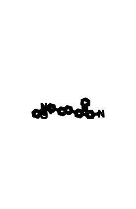 N#Cc1ccc2c3ccc(-c4ccc5cc(-c6ccc7nc8c9ccccc9oc8n7c6)ccc5c4)cc3n(C3=CC=CCC3)c2c1